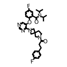 CC(C)N(C(=O)c1cc(F)ccc1Oc1cncnc1N1CC2(CCN(C(=O)CCc3ccc(F)cc3)C2)C1)C(C)C